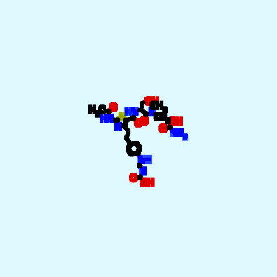 CC(=O)Nc1nc(CCc2ccc(NC=NC(=O)O)cc2)c(C(=O)N[C@@H](CO)C(=O)N(C)C)s1.NC(=O)O